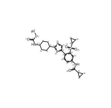 CC(C)OC(=O)NC1CCC(c2ncc(-c3ccc(NC(=O)C4CC4)cc3S(=O)(=O)C3CC3)s2)CC1